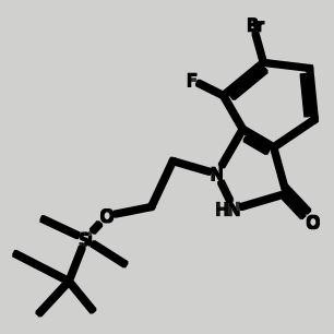 CC(C)(C)[Si](C)(C)OCCn1[nH]c(=O)c2ccc(Br)c(F)c21